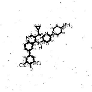 C=C(c1cnc2ccc(-c3cc(Cl)c(C)c(Cl)c3)cc2c1Nc1ccc(N2CCC(N)CC2)nc1)C1CC1